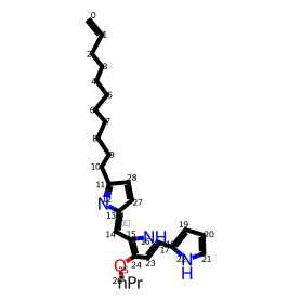 C=CCCCCCCCCCC1=N/C(=C/c2[nH]c(-c3ccc[nH]3)cc2OCCC)C=C1